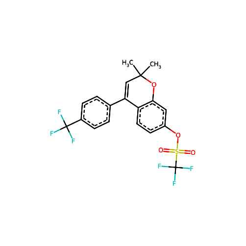 CC1(C)C=C(c2ccc(C(F)(F)F)cc2)c2ccc(OS(=O)(=O)C(F)(F)F)cc2O1